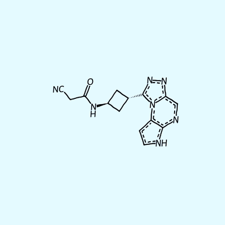 N#CCC(=O)N[C@H]1C[C@H](c2nnc3cnc4[nH]ccc4n32)C1